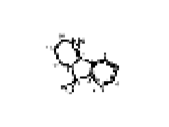 O=C1c2ncccc2C2=NCCCN12